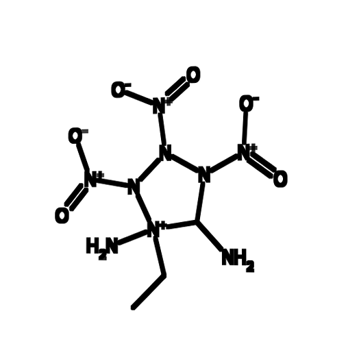 CC[N+]1(N)C(N)N([N+](=O)[O-])N([N+](=O)[O-])N1[N+](=O)[O-]